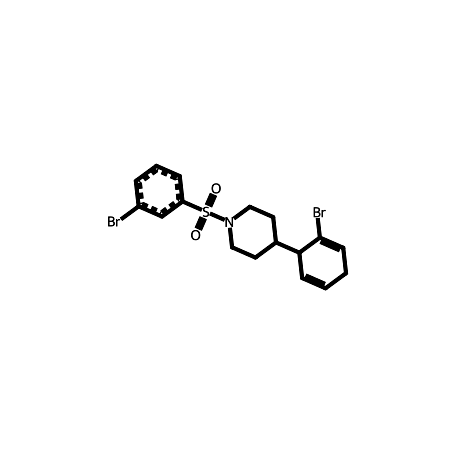 O=S(=O)(c1cccc(Br)c1)N1CCC(C2C=CCC=C2Br)CC1